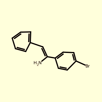 NC(=Cc1ccccc1)c1ccc(Br)cc1